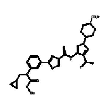 CCOC(=O)[C@H]1CC[C@H](n2cc(NC(=O)c3coc(-c4ccnc(N(CC5CC5)C(=O)OC(C)(C)C)c4)n3)c(C(F)F)n2)CC1